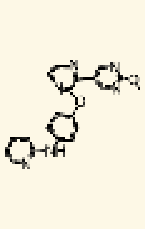 COc1ncc(-c2nccnc2Oc2ccc(Nc3ccccn3)cc2)cn1